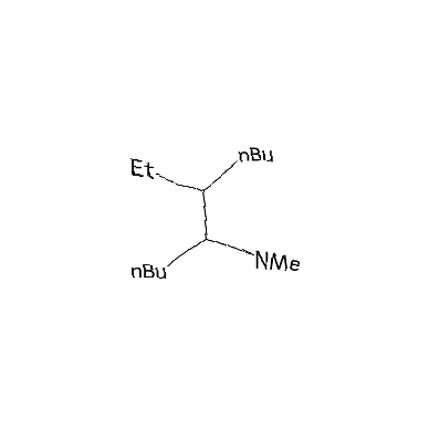 CCCCC(CC)C(CCCC)NC